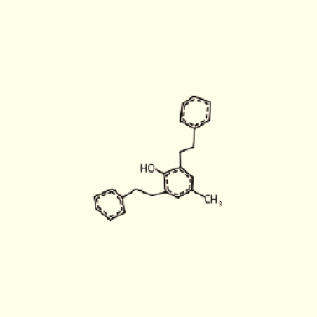 Cc1cc(CCc2ccccc2)c(O)c(CCc2ccccc2)c1